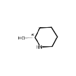 O[C@@H]1[CH]CCCN1